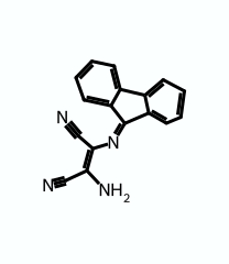 N#C/C(N)=C(\C#N)N=C1c2ccccc2-c2ccccc21